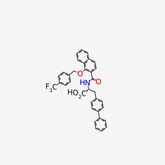 O=C(N[C@@H](Cc1ccc(-c2ccccc2)cc1)C(=O)O)c1ccc2ccccc2c1OCc1ccc(C(F)(F)F)cc1